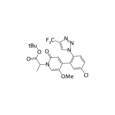 COc1cn(C(C)C(=O)OC(C)(C)C)c(=O)cc1-c1cc(Cl)ccc1-n1cc(C(F)(F)F)nn1